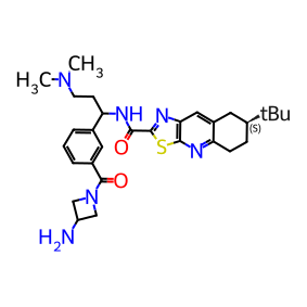 CN(C)CCC(NC(=O)c1nc2cc3c(nc2s1)CC[C@H](C(C)(C)C)C3)c1cccc(C(=O)N2CC(N)C2)c1